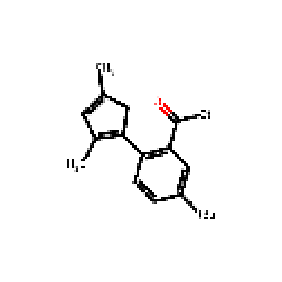 CCC(=O)c1cc(C(C)(C)C)ccc1C1=C(C)C=C(C)C1